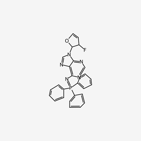 FC1C=COC1n1cnc2c(N=P(c3ccccc3)(c3ccccc3)c3ccccc3)ncnc21